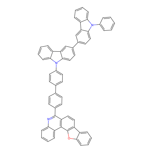 c1ccc(-n2c3ccccc3c3cc(-c4ccc5c(c4)c4ccccc4n5-c4ccc(-c5ccc(-c6nc7ccccc7c7c6ccc6c8ccccc8oc67)cc5)cc4)ccc32)cc1